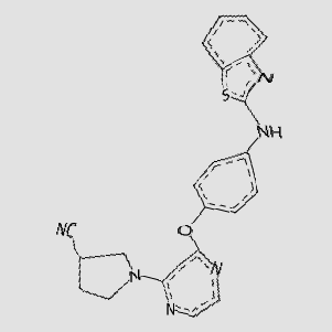 N#CC1CCN(c2nccnc2Oc2ccc(Nc3nc4ccccc4s3)cc2)C1